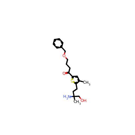 Cc1cc(C(=O)CCCOCc2ccccc2)sc1CCC(C)(N)CO